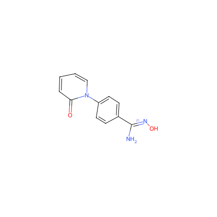 N/C(=N\O)c1ccc(-n2ccccc2=O)cc1